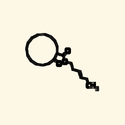 CCC=CCCOC(=O)C1CCCCCCCCCCCCCC1=O